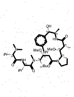 CCCc1cccc([C@H](O)[C@@H](C)NC(=O)[C@H](C)[C@@H](OC)[C@@H]2CCCN2C(=O)C[C@@H](OC)[C@H]([C@@H](C)CC)N(C)C(=O)[C@@H](NC(=O)[C@H](C(C)C)N(C)C)C(C)C)c1